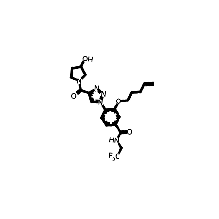 C=CCCCOc1cc(C(=O)NCC(F)(F)F)ccc1-n1cc(C(=O)N2CCC(O)C2)nn1